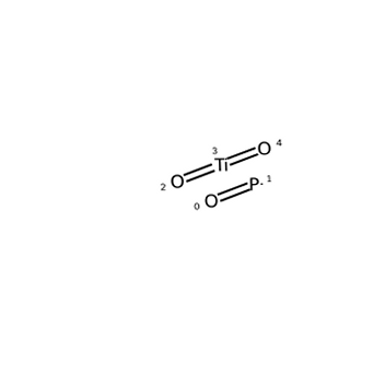 O=[P].[O]=[Ti]=[O]